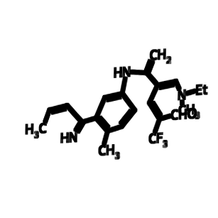 C=C(Nc1ccc(C)c(C(=N)/C=C\C)c1)C(=C/N(C)CC)/C=C(\C=O)C(F)(F)F